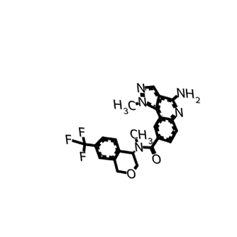 CN(C(=O)c1ccc2nc(N)c3cnn(C)c3c2c1)[C@@H]1COCc2cc(C(F)(F)F)ccc21